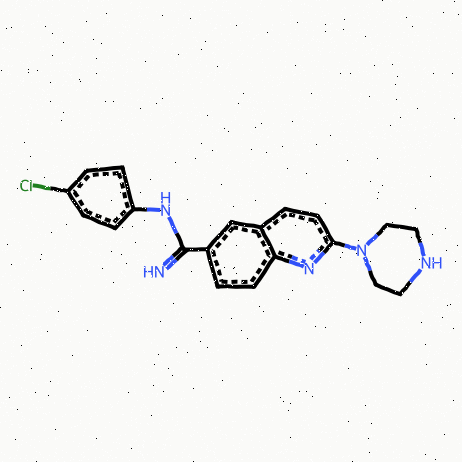 N=C(Nc1ccc(Cl)cc1)c1ccc2nc(N3CCNCC3)ccc2c1